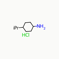 CC(C)C1CCC(N)CC1.Cl